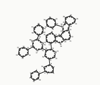 c1ccc(-c2cccc(-c3cnc(-c4cccc5c4sc4ccc6c7ccccc7n(-c7ccccc7)c6c45)c(-c4nc(-c5ccccc5)nc(-c5ccccc5)n4)c3)c2)cc1